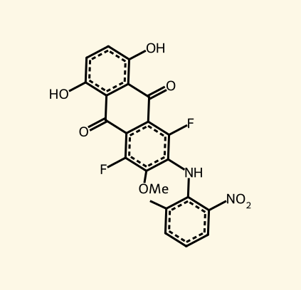 COc1c(F)c2c(c(F)c1Nc1c(C)cccc1[N+](=O)[O-])C(=O)c1c(O)ccc(O)c1C2=O